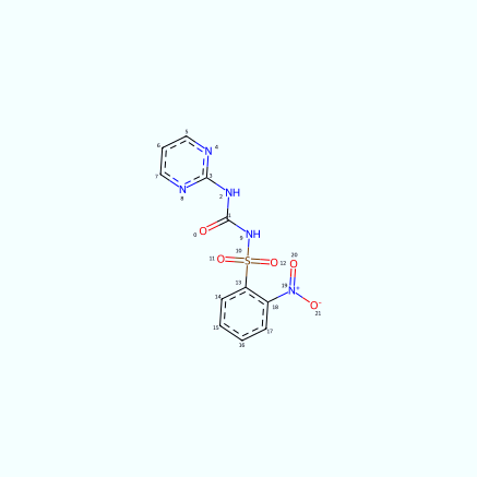 O=C(Nc1ncccn1)NS(=O)(=O)c1ccccc1[N+](=O)[O-]